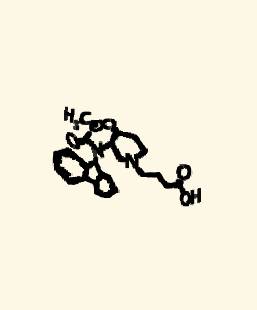 COC(=O)N(C1CN(CCCC(=O)O)CCC1=O)C1c2ccccc2-c2ccccc21